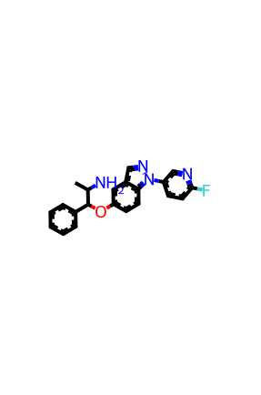 CC(N)C(Oc1ccc2c(cnn2-c2ccc(F)nc2)c1)c1ccccc1